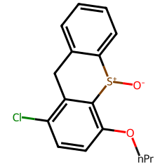 CCCOc1ccc(Cl)c2c1[S+]([O-])c1ccccc1C2